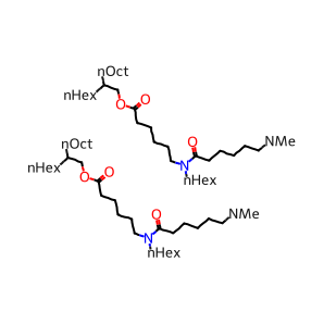 CCCCCCCCC(CCCCCC)COC(=O)CCCCCN(CCCCCC)C(=O)CCCCCNC.CCCCCCCCC(CCCCCC)COC(=O)CCCCCN(CCCCCC)C(=O)CCCCCNC